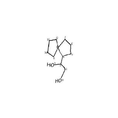 OCC(O)C1CCCC12CCCC2